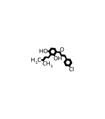 CC(C)=CCc1c(O)ccc(C(=O)/C=C/c2ccc(Cl)cc2)c1O